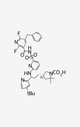 CC(C)(C)c1ccnc(C(CC[C@@H]2CN(C(=O)O)C(C)(C)C2)Nc2cccc(S(=O)(=O)NC(=O)c3cc(Cc4ccccc4)c(F)nc3F)n2)c1